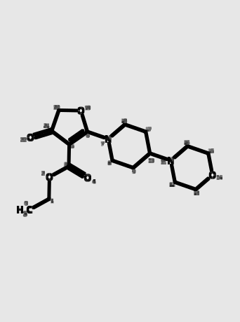 CCOC(=O)C1=C(N2CCC(N3CCOCC3)CC2)OCC1=O